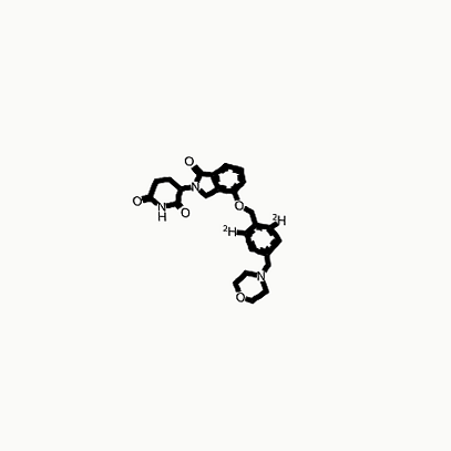 [2H]c1cc(CN2CCOCC2)cc([2H])c1COc1cccc2c1CN(C1CCC(=O)NC1=O)C2=O